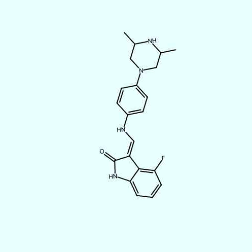 CC1CN(c2ccc(NC=C3C(=O)Nc4cccc(F)c43)cc2)CC(C)N1